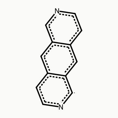 [c]1nccc2cc3cnccc3cc12